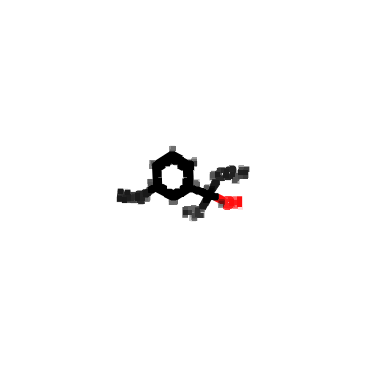 COc1cccc([C@@](O)(C(=O)O)C(F)(F)F)c1